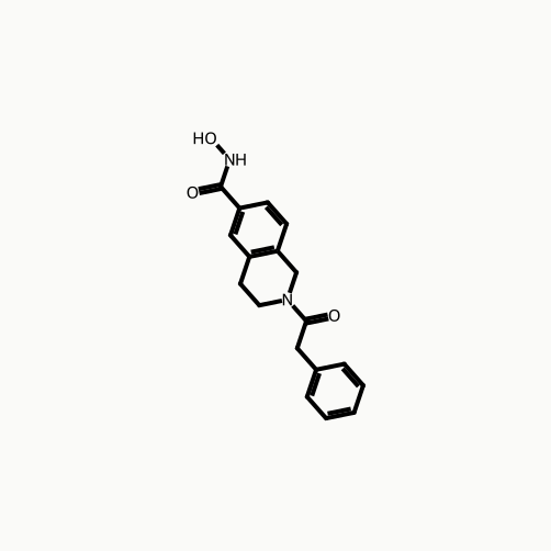 O=C(NO)c1ccc2c(c1)CCN(C(=O)Cc1ccccc1)C2